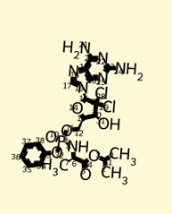 CC(C)OC(=O)[C@H](C)N[P@@](=O)(OC[C@H]1O[C@@H](n2cnc3c(N)nc(N)nc32)C(Cl)(Cl)[C@@H]1O)Oc1ccccc1